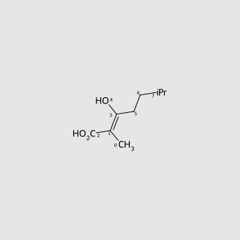 CC(C(=O)O)=C(O)CCC(C)C